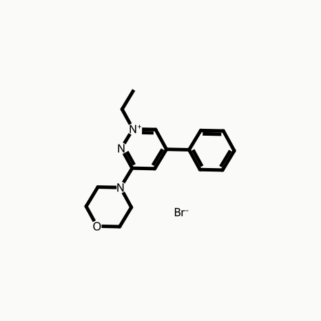 CC[n+]1cc(-c2ccccc2)cc(N2CCOCC2)n1.[Br-]